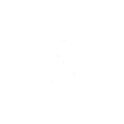 C1C2CC3CC1CC(C2)C3CNNC1C2CC3CC(C2)CC1C3.C1C2CC3CC1CC(C2)C3CNNC1C2CC3CC(C2)CC1C3.Cl.Cl.O